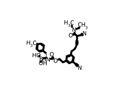 CCN(CC)C(=O)C(C#N)C#CCCc1cc(C#N)cc(CCOC(=O)N[C@@H](Cc2ccc(C)cc2)B(O)O)c1